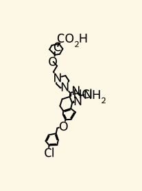 Cl.Nc1nc2c(c(N3CCN(CCOC45CCC(C(=O)O)(CC4)CC5)CC3)n1)CCc1cc(OCc3ccc(Cl)cc3)ccc1-2